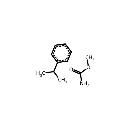 CC(C)c1ccccc1.COC(N)=O